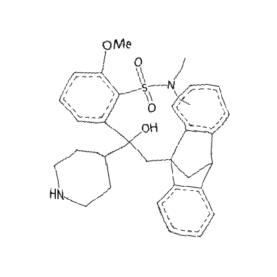 COc1cccc(C(O)(CC23CC(c4ccccc42)c2ccccc23)C2CCNCC2)c1S(=O)(=O)N(C)C